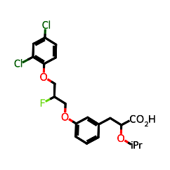 CC(C)OC(Cc1cccc(OCC(F)COc2ccc(Cl)cc2Cl)c1)C(=O)O